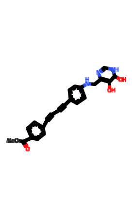 COC(=O)c1ccc(C#CC#Cc2ccc(NCC3=C(O)C(O)NC=N3)cc2)cc1